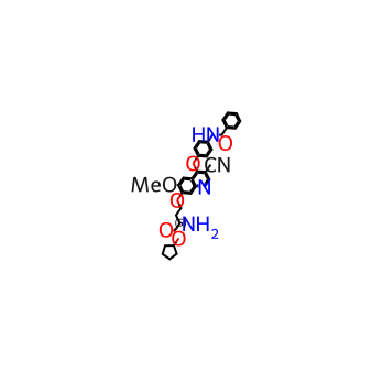 COc1cc2c(Oc3ccc(NC(=O)c4ccccc4)cc3)c(C#N)cnc2cc1OCC[C@H](N)C(=O)OC1CCCC1